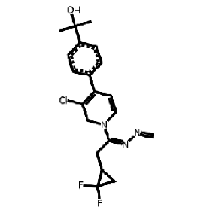 C=N/N=C(/CC1CC1(F)F)N1C=CC(c2ccc(C(C)(C)O)cc2)=C(Cl)C1